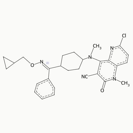 CN(c1c(C#N)c(=O)n(C)c2ccc(Cl)nc12)C1CCC(/C(=N/OCC2CC2)c2ccccc2)CC1